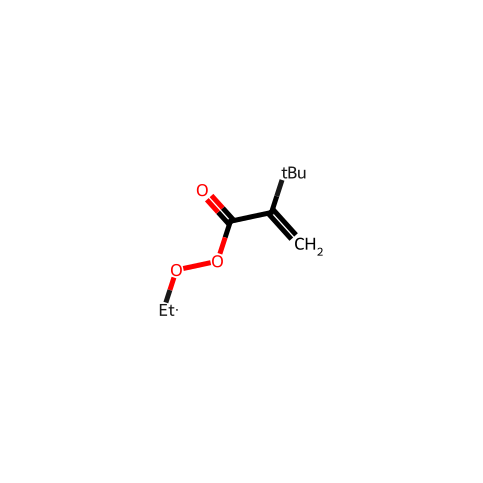 C=C(C(=O)OO[CH]C)C(C)(C)C